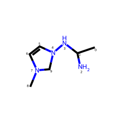 CC(N)NN1C=CN(C)C1